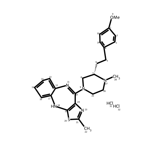 COc1ccc(CC[C@H]2CN(C3=Nc4ccccc4Nc4sc(C)nc43)CCN2C)cc1.Cl.Cl